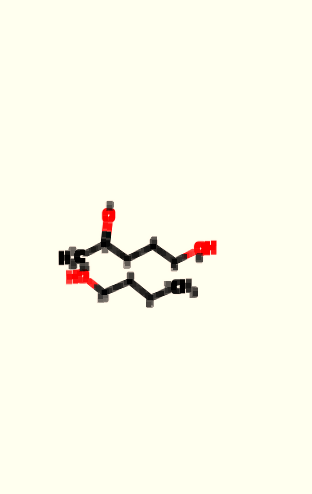 CC(=O)CCCO.CCCCO